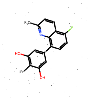 CC(C)c1c(O)cc(-c2ccc(F)c3ccc(C(F)(F)F)nc23)cc1O